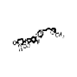 Cc1ccc(CCCN2CCN(c3cc4c(cc3F)C(=O)N(C3CCC(=O)NC3=O)C4)CC2)o1